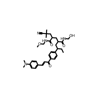 CCC(CC(CC(CC(C)(C)C#N)C(=O)NCOC)C(=O)NCO)c1ccc(C(=O)/C=C/c2ccc(N(C)C)cc2)cc1